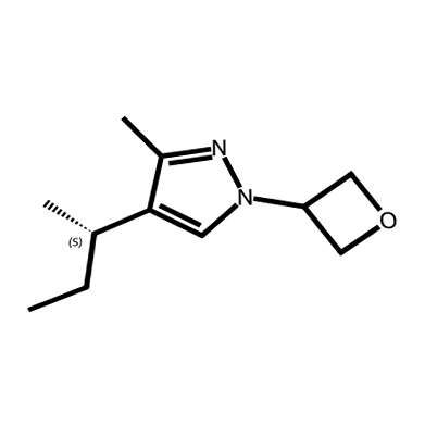 CC[C@H](C)c1cn(C2COC2)nc1C